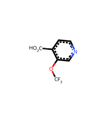 O=C(O)c1ccncc1OC(F)(F)F